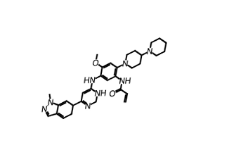 C=CC(=O)Nc1cc(NC2=CC(C3C=c4c(cnn4C)=CC3)=NCN2)c(OC)cc1N1CCC(N2CCCCC2)CC1